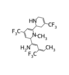 C/C=C(\C=C(/N)C1C=C(C(F)(F)F)C=C(C2CC(C(F)(F)F)=CCN2)N1C)C(F)(F)F